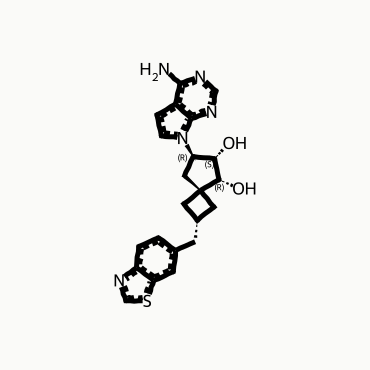 Nc1ncnc2c1ccn2[C@@H]1C[C@]2(C[C@H](Cc3ccc4ncsc4c3)C2)[C@@H](O)[C@H]1O